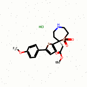 CC(C)(C)OC(=O)C[C@]1(c2ccc(-c3ccc(OC(F)(F)F)cc3)s2)CCNCCS1(=O)=O.Cl